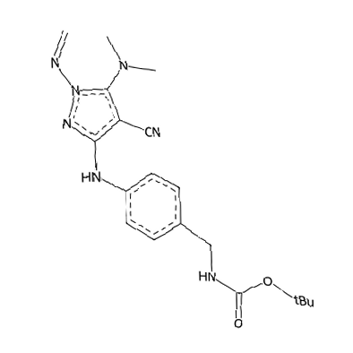 C=Nn1nc(Nc2ccc(CNC(=O)OC(C)(C)C)cc2)c(C#N)c1N(C)C